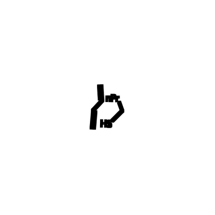 C=CC=C.CCCCS